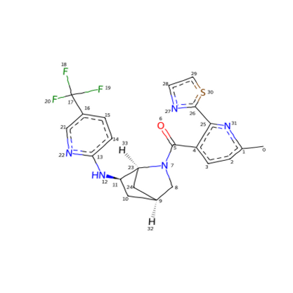 Cc1ccc(C(=O)N2C[C@H]3C[C@@H](Nc4ccc(C(F)(F)F)cn4)[C@@H]2C3)c(-c2nccs2)n1